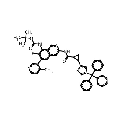 Cc1ccncc1-c1cc2cc(NC(=O)C3CC3c3cn(C(c4ccccc4)(c4ccccc4)c4ccccc4)cn3)ncc2c(NC(=O)OC(C)(C)C)c1F